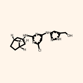 O=C(O)N1[C@@H]2CC[C@H]1C[C@H](Nc1nc(Cl)cc(Nc3cc(CO)[nH]n3)n1)C2